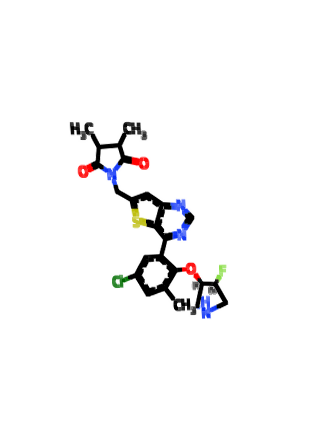 Cc1cc(Cl)cc(-c2ncnc3cc(CN4C(=O)C(C)C(C)C4=O)sc23)c1O[C@@H]1CNC[C@@H]1F